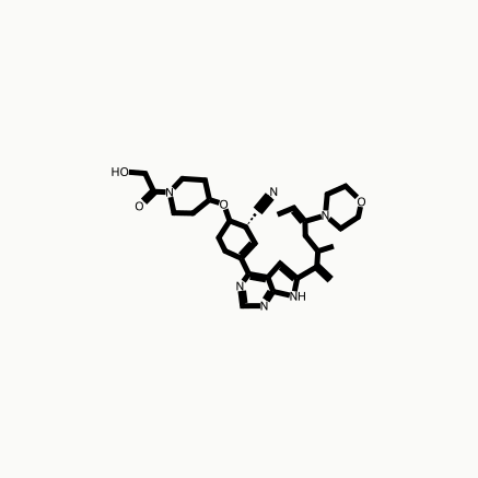 C=C(c1cc2c(C3=C[C@@H](C#N)C(OC4CCN(C(=O)CO)CC4)CC3)ncnc2[nH]1)C(C)C/C(=C\C)N1CCOCC1